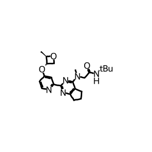 C[C@H]1OC[C@@H]1Oc1ccnc(-c2nc3c(c(N(C)CC(=O)NC(C)(C)C)n2)CCC3)c1